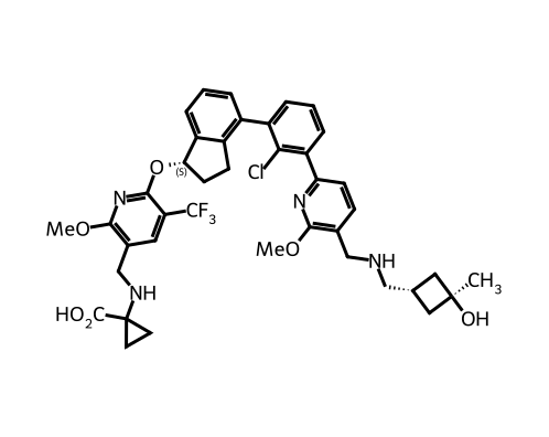 COc1nc(-c2cccc(-c3cccc4c3CC[C@@H]4Oc3nc(OC)c(CNC4(C(=O)O)CC4)cc3C(F)(F)F)c2Cl)ccc1CNC[C@H]1C[C@](C)(O)C1